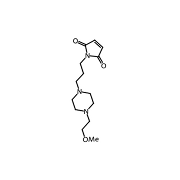 COCCN1CCN(CCCN2C(=O)C=CC2=O)CC1